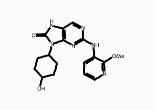 COc1ncccc1Nc1ncc2[nH]c(=O)n(C3CCC(O)CC3)c2n1